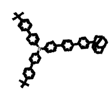 CC(C)(C)c1ccc(-c2ccc(N(c3ccc(-c4ccc(-c5ccc(C67CC8CC(CC(C8)C6)C7)cc5)cc4)cc3)c3ccc(-c4ccc(C(C)(C)C)cc4)cc3)cc2)cc1